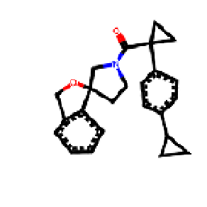 O=C(N1CCC2(C1)OCc1ccccc12)C1(c2ccc(C3CC3)cc2)CC1